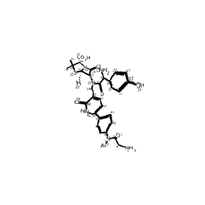 CC(=O)N(C(=O)CN)c1ccc(-c2ccc(CN(C(=O)C(N)c3ccc(O)cc3)[C@@H]3C(=O)N4[C@@H]3SC(C)(C)[C@@H]4C(=O)O)c(=O)[nH]2)cc1